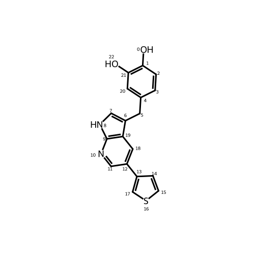 Oc1ccc(Cc2c[nH]c3ncc(-c4ccsc4)cc23)cc1O